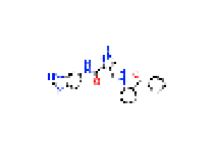 O=C(Nc1ccc2nc[nH]c2c1)c1n[nH]cc1CNc1ccccc1C(O)c1ccccc1